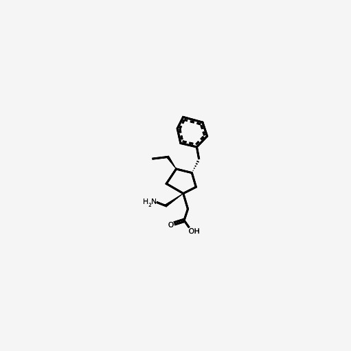 CC[C@@H]1C[C@@](CN)(CC(=O)O)C[C@H]1Cc1ccccc1